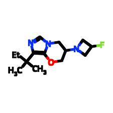 CCC(C)(C)c1ncn2c1OCC(N1CC(F)C1)C2